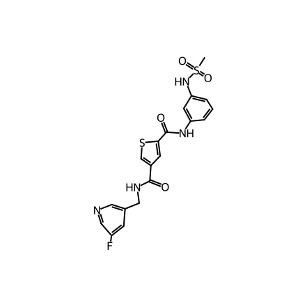 CS(=O)(=O)Nc1cccc(NC(=O)c2cc(C(=O)NCc3cncc(F)c3)cs2)c1